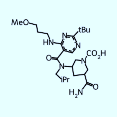 COCCCNc1nc(C(C)(C)C)ncc1C(=O)N(CC(C)C)C1CC(C(N)=O)CN(C(=O)O)C1